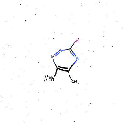 CNc1nnc(I)nc1C